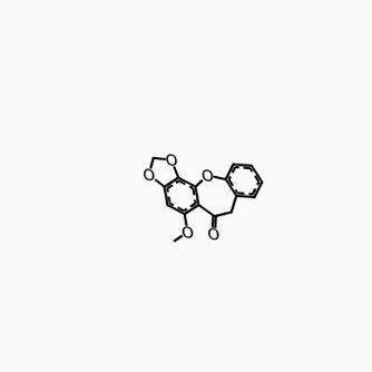 COc1cc2c(c3c1C(=O)Cc1ccccc1O3)OCO2